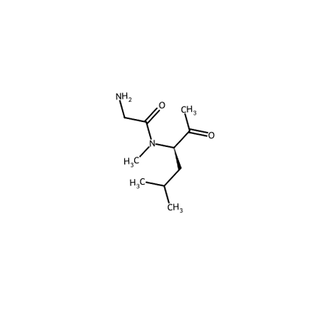 CC(=O)[C@@H](CC(C)C)N(C)C(=O)CN